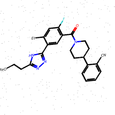 CCc1cc(F)c(C(=O)N2CCC(c3ccccc3C#N)CC2)cc1-c1nnc(CCOC)[nH]1